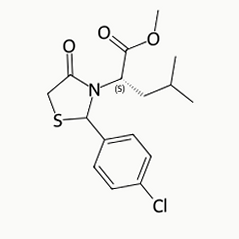 COC(=O)[C@H](CC(C)C)N1C(=O)CSC1c1ccc(Cl)cc1